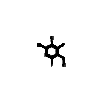 Fc1nc(Cl)c(Cl)c(F)c1CCl